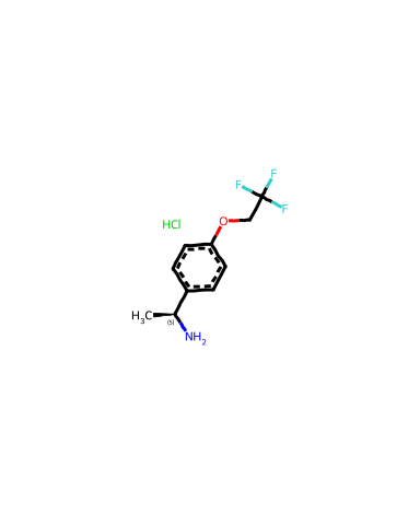 C[C@H](N)c1ccc(OCC(F)(F)F)cc1.Cl